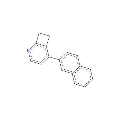 c1ccc2cc(-c3ccnc4c3CC4)ccc2c1